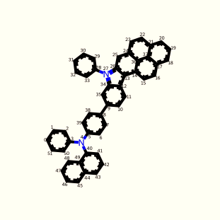 c1ccc(N(c2ccc(-c3ccc4c5c6ccc7cccc8ccc(cc5n(-c5ccccc5)c4c3)c6c87)cc2)c2cccc3ccccc23)cc1